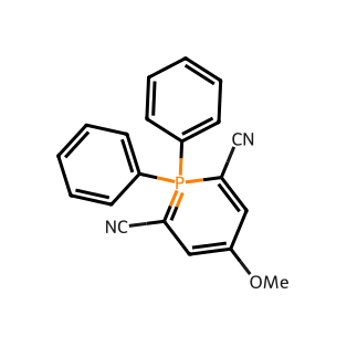 COC1=CC(C#N)=P(c2ccccc2)(c2ccccc2)C(C#N)=C1